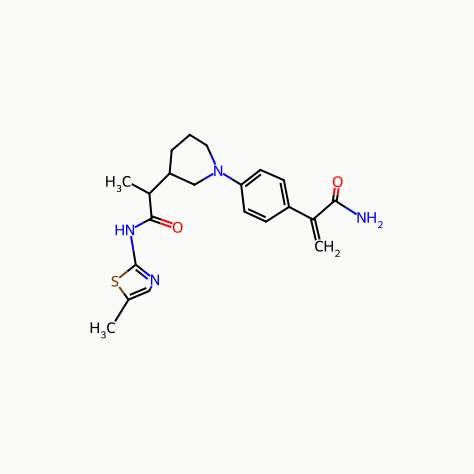 C=C(C(N)=O)c1ccc(N2CCCC(C(C)C(=O)Nc3ncc(C)s3)C2)cc1